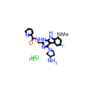 CNc1cc(F)cc2c1[nH]c1nc(CNC(=O)c3ccccn3)nc(N3CCC(N)C3)c12.Cl.Cl